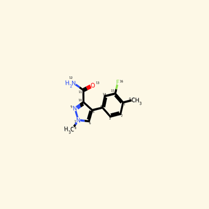 Cc1ccc(-c2cn(C)nc2C(N)=O)cc1F